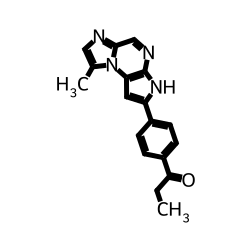 CCC(=O)c1ccc(-c2cc3c(ncc4ncc(C)n43)[nH]2)cc1